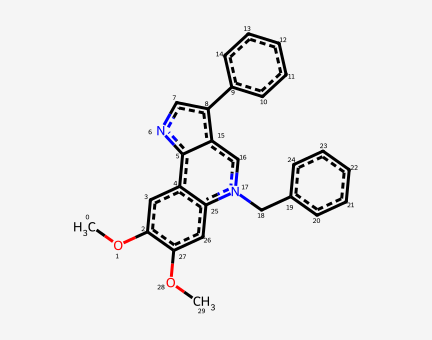 COc1cc2c3ncc(-c4ccccc4)c-3cn(Cc3ccccc3)c2cc1OC